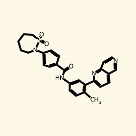 Cc1ccc(NC(=O)c2ccc(N3CCCCCS3(=O)=O)cc2)cc1-c1ccc2cnccc2n1